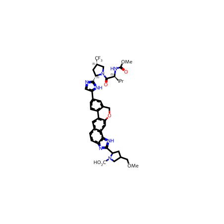 COCC1CC(c2nc3ccc4cc5c(cc4c3[nH]2)OCc2cc(-c3cnc([C@@H]4C[C@H](C(F)(F)F)CN4C(=O)[C@@H](NC(=O)OC)C(C)C)[nH]3)ccc2-5)N(C(=O)O)C1